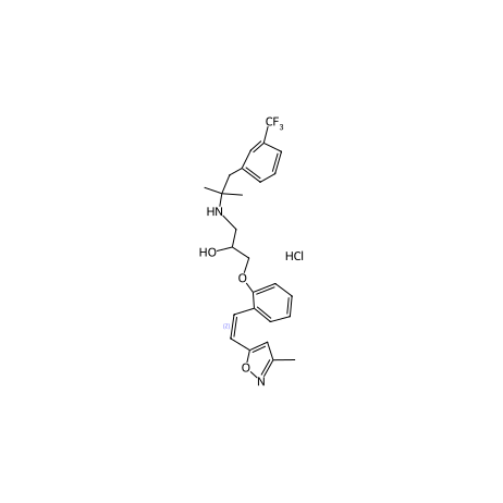 Cc1cc(/C=C\c2ccccc2OCC(O)CNC(C)(C)Cc2cccc(C(F)(F)F)c2)on1.Cl